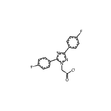 O=C(Cl)Cn1nc(-c2ccc(F)cc2)nc1-c1ccc(F)cc1